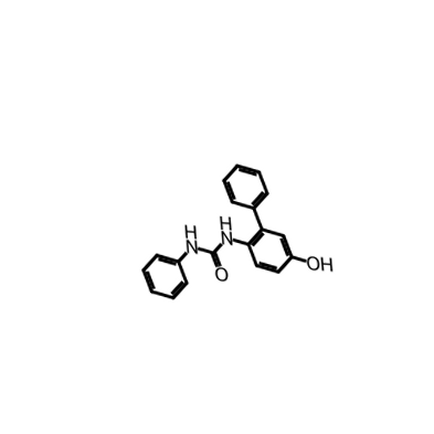 O=C(Nc1ccccc1)Nc1ccc(O)cc1-c1ccccc1